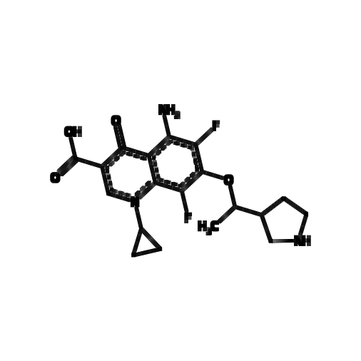 CC(Oc1c(F)c(N)c2c(=O)c(C(=O)O)cn(C3CC3)c2c1F)C1CCNC1